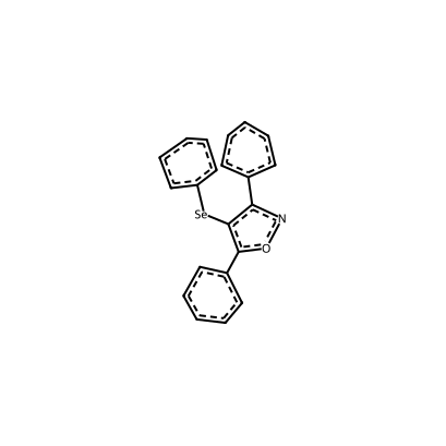 c1ccc([Se]c2c(-c3ccccc3)noc2-c2ccccc2)cc1